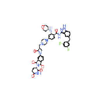 O=C1CCC(N2C(=O)c3ccc(N4CC(CN5CCN(c6ccc(C(=O)Nc7n[nH]c8ccc(Cc9cc(F)cc(F)c9)cc78)c(NC7CCOCC7)c6)CC5)C4=O)cc3C2=O)C(=O)N1